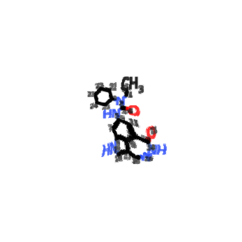 CCN(C(=O)Nc1cc2c3c(c1)C(=O)NN=CC3CN2)C1CCCCC1